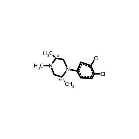 C[C@@H]1CN(C)[C@@H](C)CN1c1ccc(Cl)c(Cl)c1